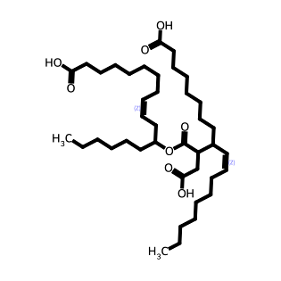 CCCCCCC/C=C\C(CCCCCCCC(=O)O)C(CC(=O)O)C(=O)OC(C/C=C\CCCCCCCC(=O)O)CCCCCC